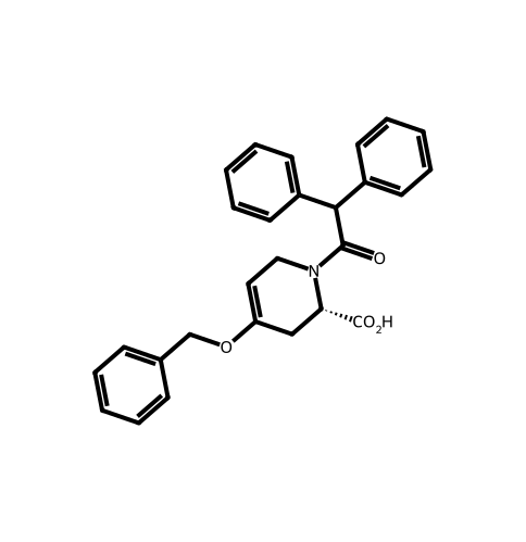 O=C(O)[C@@H]1CC(OCc2ccccc2)=CCN1C(=O)C(c1ccccc1)c1ccccc1